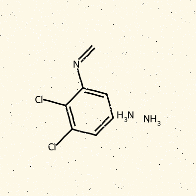 C=Nc1cccc(Cl)c1Cl.N.N